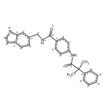 CC(C)(C(=O)Nc1ccc(C(=O)NCc2ccn3ccnc3c2)cc1)c1ccccc1